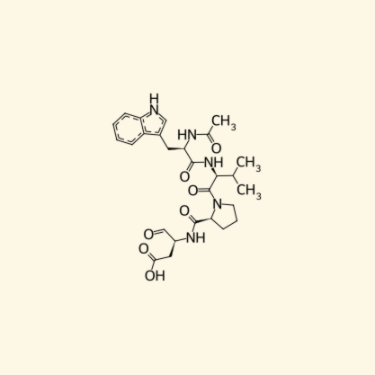 CC(=O)N[C@H](Cc1c[nH]c2ccccc12)C(=O)N[C@H](C(=O)N1CCC[C@H]1C(=O)N[C@H](C=O)CC(=O)O)C(C)C